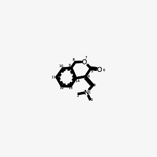 CN(C)/C=C1/C(=O)OCc2ccccc21